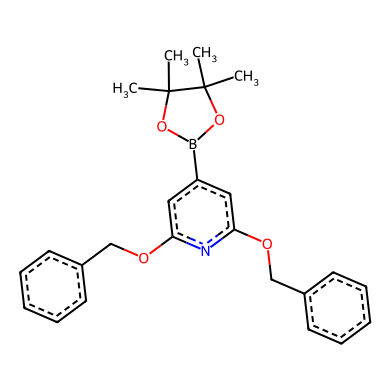 CC1(C)OB(c2cc(OCc3ccccc3)nc(OCc3ccccc3)c2)OC1(C)C